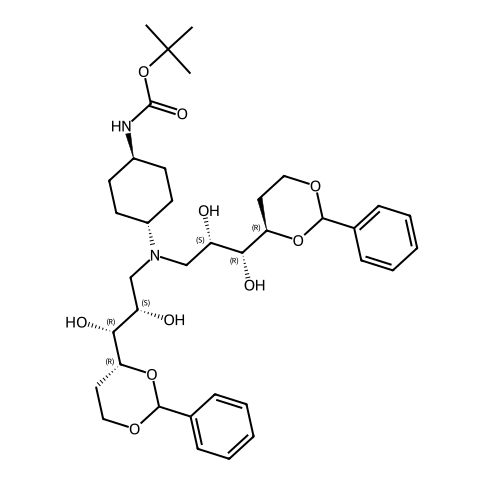 CC(C)(C)OC(=O)N[C@H]1CC[C@H](N(C[C@H](O)[C@@H](O)[C@H]2CCOC(c3ccccc3)O2)C[C@H](O)[C@@H](O)[C@H]2CCOC(c3ccccc3)O2)CC1